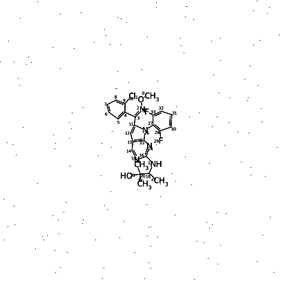 CON=C(c1ccccc1Cl)c1cc2cnc(NC(C)C(C)(C)O)nc2n1-c1c(F)cccc1F